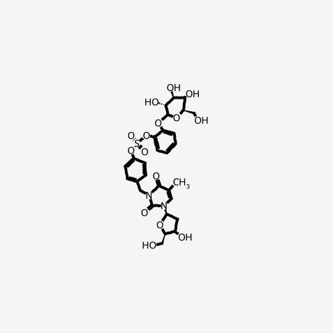 Cc1cn([C@H]2CC(O)[C@@H](CO)O2)c(=O)n(Cc2ccc(OS(=O)(=O)Oc3ccccc3OC3O[C@H](CO)[C@H](O)[C@H](O)[C@H]3O)cc2)c1=O